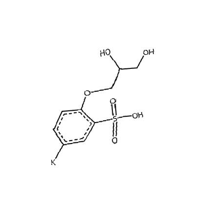 O=S(=O)(O)c1c[c]([K])ccc1OCC(O)CO